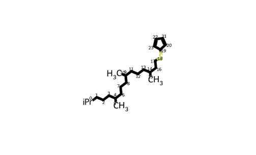 CC(C)CCCC(C)CCCC(C)CCCC(C)CCSC1C=CC=C1